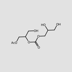 CC(=O)OCC(CO)OC(=O)OCC(O)CO